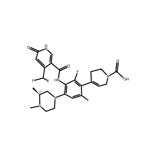 C[C@H]1CN(c2cc(F)c(C3=CCN(C(=O)O)CC3)c(F)c2NC(=O)c2c[nH]c(=O)cc2C(F)F)CCN1C